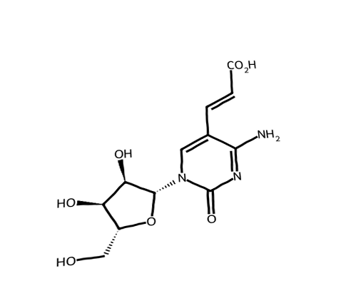 Nc1nc(=O)n([C@@H]2O[C@H](CO)[C@@H](O)[C@H]2O)cc1C=CC(=O)O